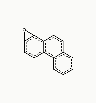 c1ccc2c(c1)ccc1c3c(ccc12)O3